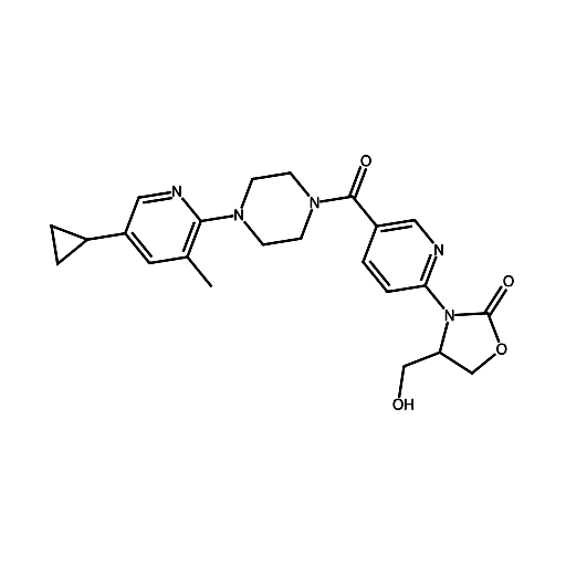 Cc1cc(C2CC2)cnc1N1CCN(C(=O)c2ccc(N3C(=O)OCC3CO)nc2)CC1